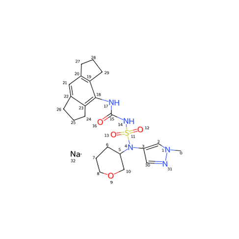 Cn1cc(N(C2CCCOC2)S(=O)(=O)NC(=O)Nc2c3c(cc4c2CCC4)CCC3)cn1.[Na]